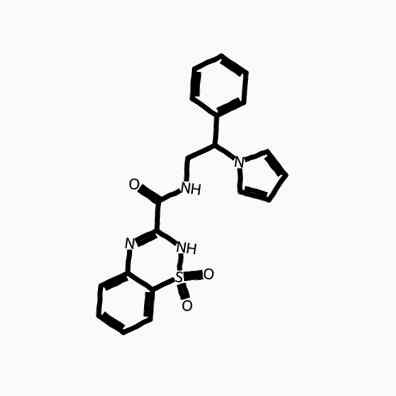 O=C(NCC(c1ccccc1)n1cccc1)C1=Nc2ccccc2S(=O)(=O)N1